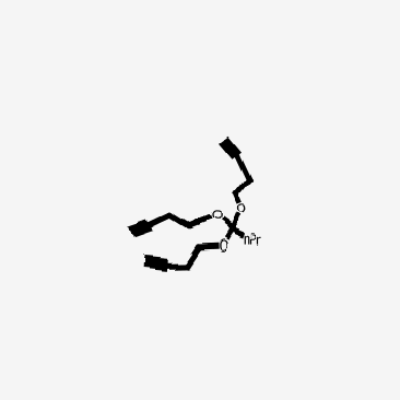 C#CCCOC(CCC)(OCCC#C)OCCC#C